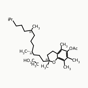 CC(=O)O.CC(=O)Oc1c(C)c(C)c2c(c1C)CC[C@@](C)(CCC[C@H](C)CCC[C@H](C)CCCC(C)C)O2